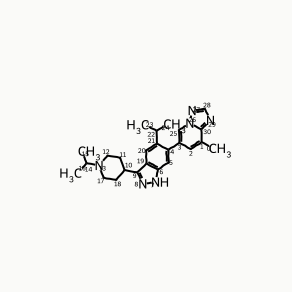 Cc1cc(-c2cc3[nH]nc(C4CCN(C(C)C)CC4)c3cc2C(C)C)cn2ncnc12